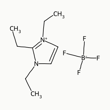 CCc1n(CC)cc[n+]1CC.F[B-](F)(F)F